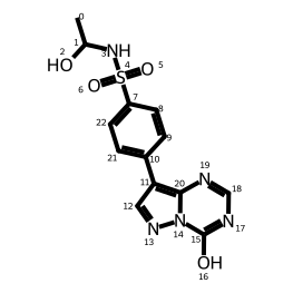 CC(O)NS(=O)(=O)c1ccc(-c2cnn3c(O)ncnc23)cc1